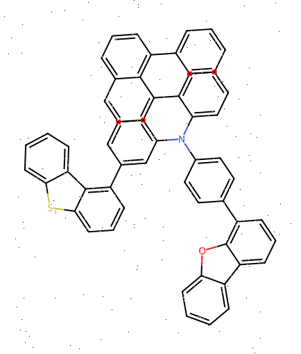 c1ccc(-c2cccc3cccc(-c4ccccc4N(c4ccc(-c5cccc6c5oc5ccccc56)cc4)c4cccc(-c5cccc6sc7ccccc7c56)c4)c23)cc1